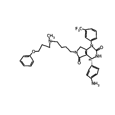 CN(CCCCN1CC2=C(C1=O)[C@@H](c1ccc(N)cc1)NC(=O)N2c1cccc(C(F)(F)F)c1)CCCOc1ccccc1